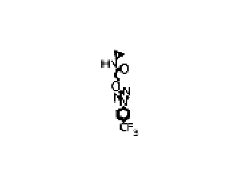 O=C(CCOc1ncn(-c2ccc(C(F)(F)F)cc2)n1)NC1CC1